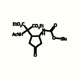 CCOC(=O)C(NC(C)=O)(C(=O)OCC)C1CC(=O)CC1NC(=O)OC(C)(C)C